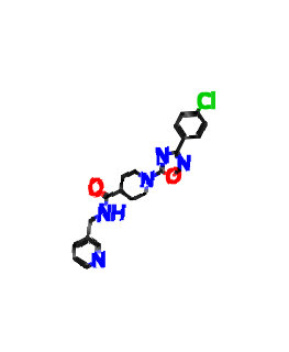 O=C(NCc1cccnc1)C1CCN(c2nc(-c3ccc(Cl)cc3)no2)CC1